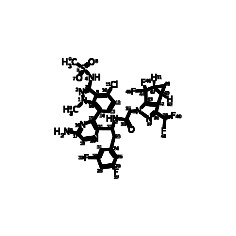 Cn1nc(NS(C)(=O)=O)c2c(Cl)ccc(-c3nc(N)cnc3C(Cc3cc(F)cc(F)c3)NC(=O)Cn3nc(C(F)F)c4c3C(F)(F)[C@@H]3C[C@H]43)c21